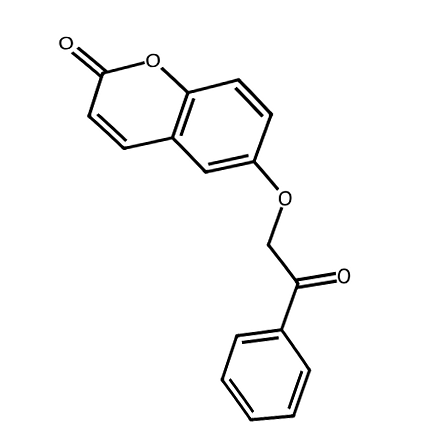 O=C(COc1ccc2oc(=O)ccc2c1)c1ccccc1